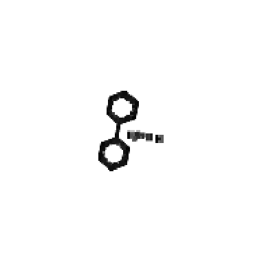 I.I.[SnH2].c1ccc(-c2ccccc2)cc1